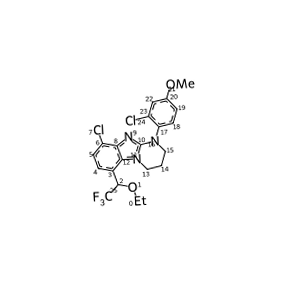 CCOC(c1ccc(Cl)c2nc3n(c12)CCCN3c1ccc(OC)cc1Cl)C(F)(F)F